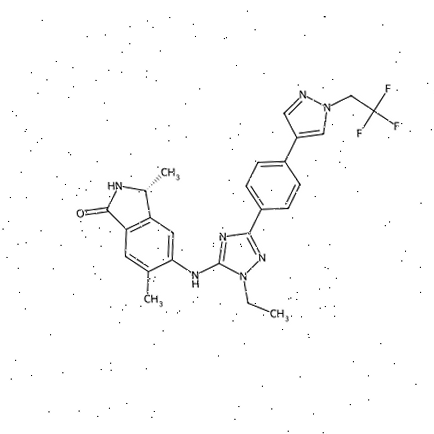 CCn1nc(-c2ccc(-c3cnn(CC(F)(F)F)c3)cc2)nc1Nc1cc2c(cc1C)C(=O)N[C@@H]2C